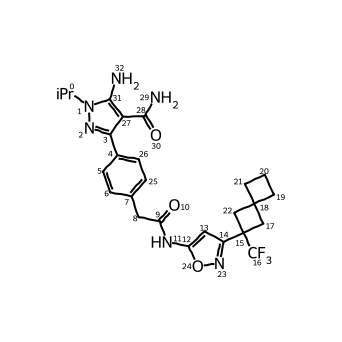 CC(C)n1nc(-c2ccc(CC(=O)Nc3cc(C4(C(F)(F)F)CC5(CCC5)C4)no3)cc2)c(C(N)=O)c1N